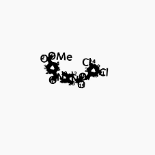 COC(=O)c1ccc(C(=O)N2CC3CN(C(=O)OCc4cc(Cl)cc(Cl)c4)CC3C2)cc1